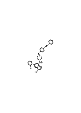 Clc1ccccc1-c1cc(NC2CCN(Cc3ccc(C#Cc4ccccc4)cc3)CC2)n2ncc(Br)c2n1